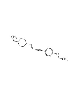 CCOc1ccc(C#CC=C[C@H]2CC[C@H](CC)CC2)cc1